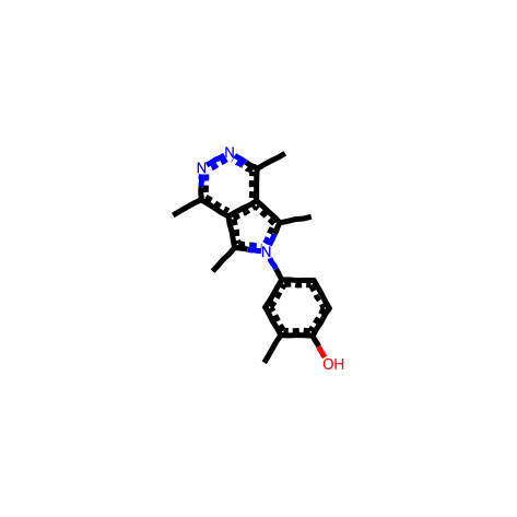 Cc1cc(-n2c(C)c3c(C)nnc(C)c3c2C)ccc1O